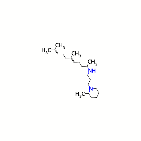 CC(C)=CCC/C(C)=C/CCC(C)NCCCN1CCCCC1C